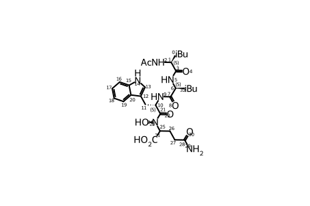 CCC(C)[C@H](NC(C)=O)C(=O)N[C@H](C(=O)N[C@@H](Cc1c[nH]c2ccccc12)C(=O)N(O)C(CCC(N)=O)C(=O)O)C(C)CC